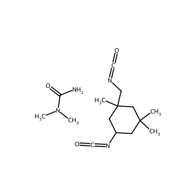 CC1(C)CC(N=C=O)CC(C)(CN=C=O)C1.CN(C)C(N)=O